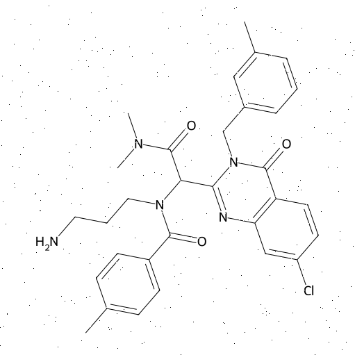 Cc1ccc(C(=O)N(CCCN)C(C(=O)N(C)C)c2nc3cc(Cl)ccc3c(=O)n2Cc2cccc(C)c2)cc1